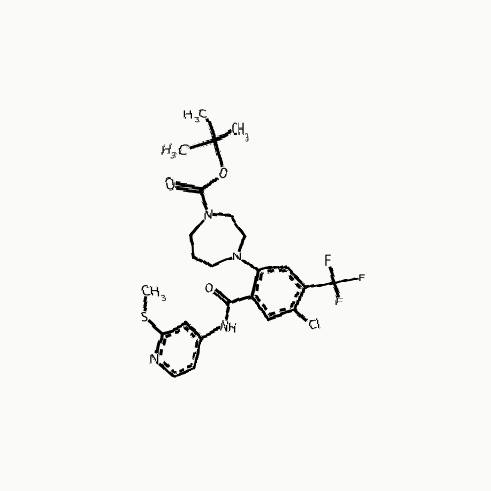 CSc1cc(NC(=O)c2cc(Cl)c(C(F)(F)F)cc2N2CCCN(C(=O)OC(C)(C)C)CC2)ccn1